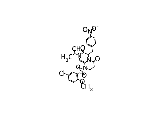 COc1ccc(Cl)cc1S(=O)(=O)N1CCC(=O)N2C1=CN(C(C)C)C(=O)C2Cc1ccc([N+](=O)[O-])cc1